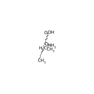 CC(C)C(N)=O.CCCCCC=CCCCCCCC=CC=CC(=O)O